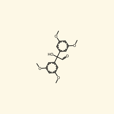 COc1cc(OC)cc(C(O)(C=O)c2cc(OC)cc(OC)c2)c1